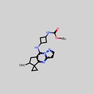 CC(C)(C)OC(=O)NC1CC(Nc2c3c(nc4ccnn24)C2(CC2)C(C=O)C3)C1